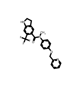 CN(C(=O)c1cc2c(cc1C(F)(F)F)NCC2)c1ccc(OCc2ccccn2)cc1